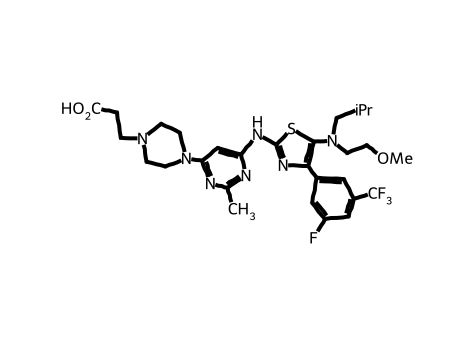 COCCN(CC(C)C)c1sc(Nc2cc(N3CCN(CCC(=O)O)CC3)nc(C)n2)nc1-c1cc(F)cc(C(F)(F)F)c1